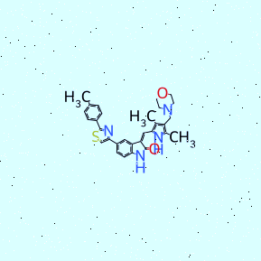 Cc1ccc(-c2nc(-c3ccc4c(c3)/C(=C/c3[nH]c(C)c(CN5CCOCC5)c3C)C(=O)N4)cs2)cc1